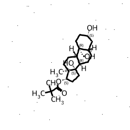 CC(C)(C)C(=O)O[C@H]1CC[C@]2(O)[C@@H]3CC[C@H]4C[C@@H](O)CC[C@]4(CO)[C@H]3CC[C@]12C